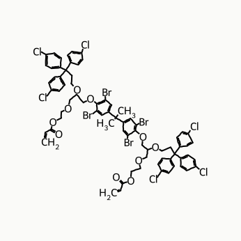 C=CC(=O)OCCOCC(COc1c(Br)cc(C(C)(C)c2cc(Br)c(OCC(COCCOC(=O)C=C)OCCC(c3ccc(Cl)cc3)(c3ccc(Cl)cc3)c3ccc(Cl)cc3)c(Br)c2)cc1Br)OCCC(c1ccc(Cl)cc1)(c1ccc(Cl)cc1)c1ccc(Cl)cc1